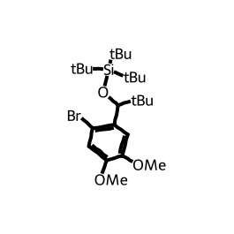 COc1cc(Br)c(C(O[Si](C(C)(C)C)(C(C)(C)C)C(C)(C)C)C(C)(C)C)cc1OC